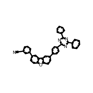 N#Cc1cccc(-c2ccc3oc4ccc(-c5ccc(-c6nc(-c7ccccc7)nc(-c7ccccc7)n6)cc5)cc4c3c2)c1